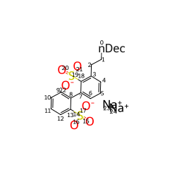 CCCCCCCCCCCCc1cccc(-c2ccccc2S(=O)(=O)[O-])c1S(=O)(=O)[O-].[Na+].[Na+]